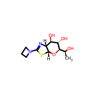 C[C@H](O)[C@H]1O[C@@H]2SC(N3CCC3)=N[C@@H]2[C@@H](O)[C@@H]1O